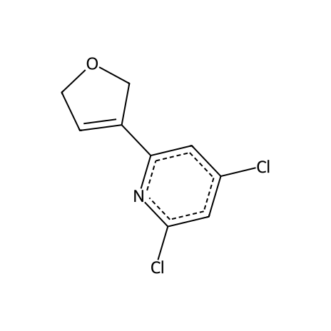 Clc1cc(Cl)nc(C2=CCOC2)c1